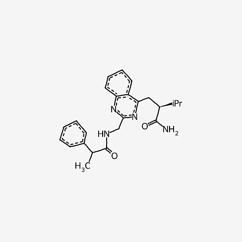 CC(C(=O)NCc1nc(C[C@H](C(N)=O)C(C)C)c2ccccc2n1)c1ccccc1